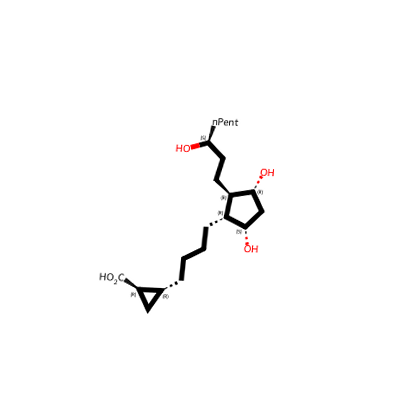 CCCCC[C@H](O)CC[C@@H]1[C@@H](CCCC[C@@H]2C[C@H]2C(=O)O)[C@@H](O)C[C@H]1O